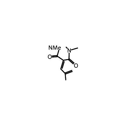 C=C(C)/C=C(/C(=O)NC)C(=O)N(C)C